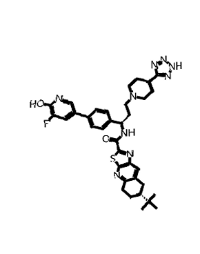 CC(C)(C)[C@@H]1CCc2nc3sc(C(=O)N[C@H](CCN4CCC(c5nn[nH]n5)CC4)c4ccc(-c5cnc(O)c(F)c5)cc4)nc3cc2C1